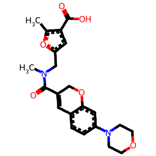 Cc1oc(CN(C)C(=O)C2=Cc3ccc(N4CCOCC4)cc3OC2)cc1C(=O)O